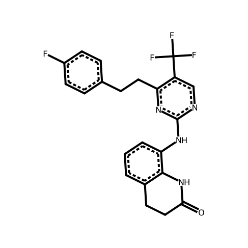 O=C1CCc2cccc(Nc3ncc(C(F)(F)F)c(CCc4ccc(F)cc4)n3)c2N1